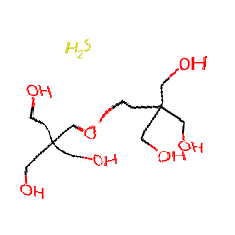 OCC(CO)(CO)COCC(CO)(CO)CO.S